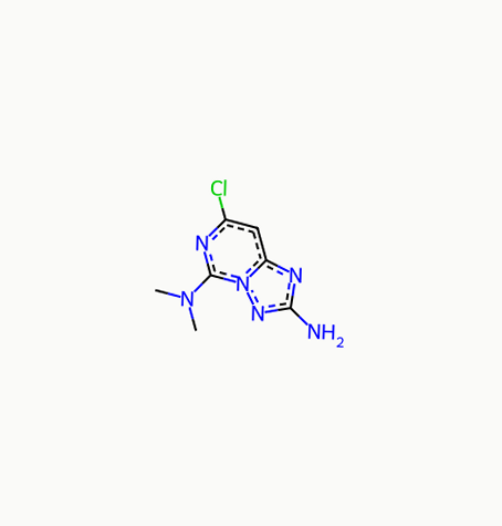 CN(C)c1nc(Cl)cc2nc(N)nn12